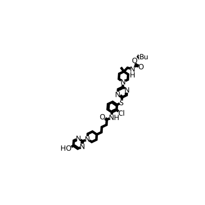 CC1(CNC(=O)OC(C)(C)C)CCN(c2cnc(Sc3cccc(NC(=O)CCCC4CCN(c5ncc(O)cn5)CC4)c3Cl)cn2)CC1